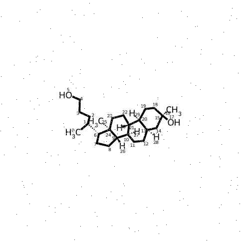 CC(CCCO)[C@H]1CC[C@H]2[C@@H]3CC[C@@H]4C[C@](C)(O)CC[C@@H]4[C@H]3CC[C@]12C